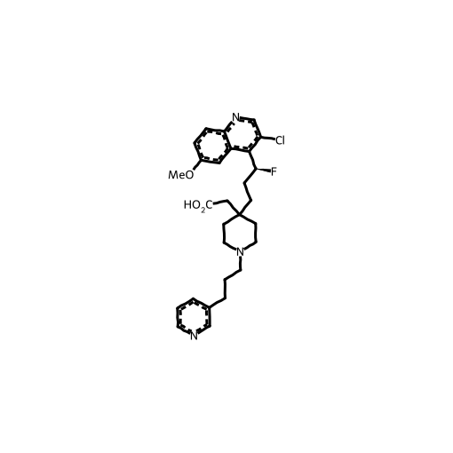 COc1ccc2ncc(Cl)c([C@@H](F)CCC3(CC(=O)O)CCN(CCCc4cccnc4)CC3)c2c1